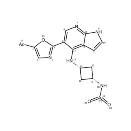 CC(=O)c1cnc(-c2cnc3[nH]ccc3c2N[C@H]2C[C@@H](N[SH](=O)=O)C2)o1